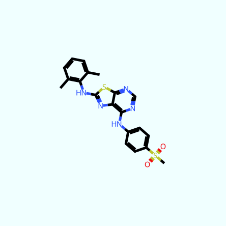 Cc1cccc(C)c1Nc1nc2c(Nc3ccc(S(C)(=O)=O)cc3)ncnc2s1